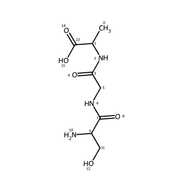 CC(NC(=O)CNC(=O)C(N)CO)C(=O)O